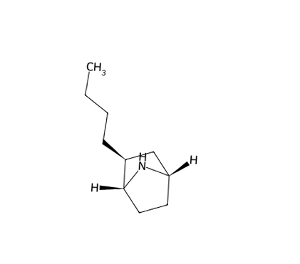 CCCC[C@H]1C[C@@H]2CC[C@H]1N2